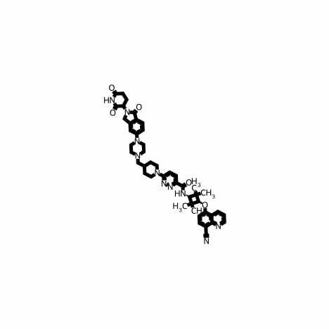 CC1(C)[C@H](NC(=O)c2ccc(N3CCC(CN4CCN(c5ccc6c(c5)CN(C5CCC(=O)NC5=O)C6=O)CC4)CC3)nn2)C(C)(C)[C@H]1Oc1ccc(C#N)c2ncccc12